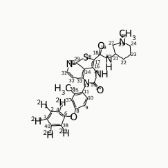 [2H]c1c([2H])c([2H])c(Oc2ccc(N3C(=O)Nc4c(C(=O)NC5CCCN(C)C5)sc5nccc3c45)c(C)c2)c([2H])c1[2H]